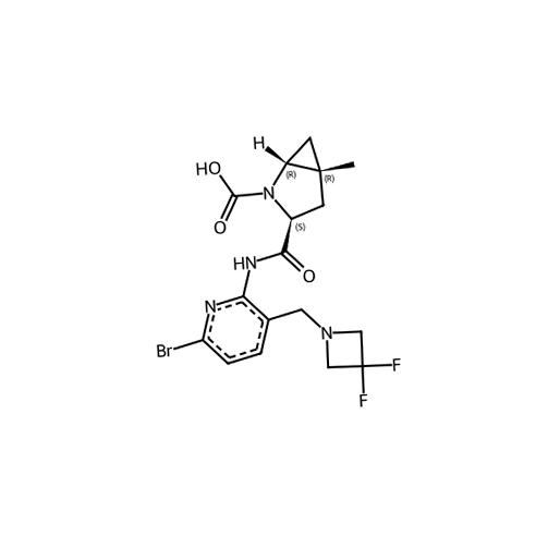 C[C@@]12C[C@@H](C(=O)Nc3nc(Br)ccc3CN3CC(F)(F)C3)N(C(=O)O)[C@@H]1C2